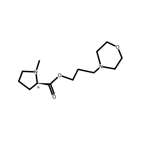 CN1CCC[C@@H]1C(=O)OCCCN1CCOCC1